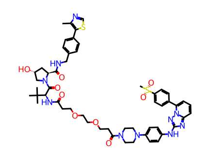 Cc1ncsc1-c1ccc(CNC(=O)[C@@H]2C[C@@H](O)CN2C(=O)[C@@H](NC(=O)CCOCCOCCC(=O)N2CCN(c3ccc(Nc4nc5cccc(-c6ccc(S(C)(=O)=O)cc6)n5n4)cc3)CC2)C(C)(C)C)cc1